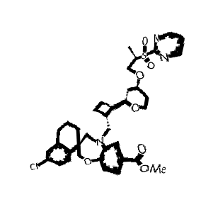 COC(=O)c1ccc2c(c1)N(C[C@@H]1CC[C@H]1[C@@H]1C[C@@H](OC[C@@H](C)S(=O)(=O)c3ncccn3)CCO1)C[C@@]1(CCCc3cc(Cl)ccc31)CO2